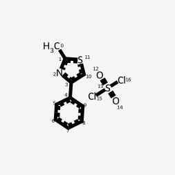 Cc1nc(-c2ccccc2)cs1.O=S(=O)(Cl)Cl